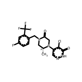 C[C@@H]1CN(Cc2ccc(F)cc2C(F)(F)F)C(=O)CN1c1cn[nH]c(=O)c1Cl